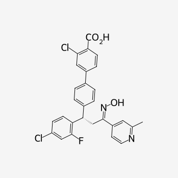 Cc1cc(C(C[C@@H](c2ccc(-c3ccc(C(=O)O)c(Cl)c3)cc2)c2ccc(Cl)cc2F)=NO)ccn1